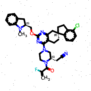 C=C(F)C(=O)N1CCN(c2nc(OC[C@@H]3Cc4ccccc4N3C)nc3c2CC[C@@]2(CCc4c(Cl)cccc42)C3)C[C@@H]1CC#N